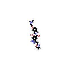 CCN(C)CCOc1ccc2c(c1)CN(C(=O)c1cc3c(CC4=NC(C)(C)CO4)n[nH]c3cc1O)C2